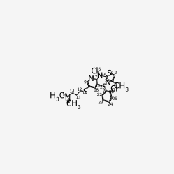 Cc1csc(N(Cl)c2ncc(SCCCN(C)C)cc2Sc2ccccc2Cl)n1